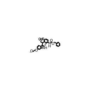 COCCOc1ccc2c(C(C[N+](=O)[O-])c3cccc(NC(=O)OCc4ccccc4)c3F)c[nH]c2c1